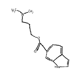 CN(C)CCCOC(=O)c1ccc2[c]c[nH]c2c1